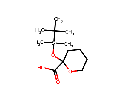 CC(C)(C)[Si](C)(C)OC1(C(=O)O)CCCCO1